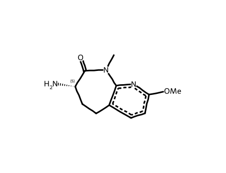 COc1ccc2c(n1)N(C)C(=O)[C@@H](N)CC2